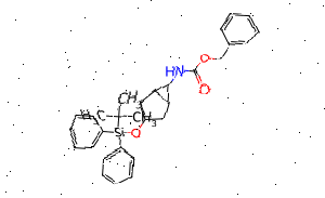 CC(C)(C)[Si](OC1CC2C(C1)C2NC(=O)OCc1ccccc1)(c1ccccc1)c1ccccc1